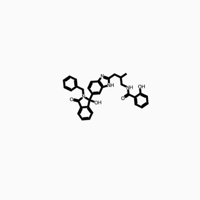 CC(CNC(=O)c1ccccc1O)Cc1nc2ccc(C3(O)c4ccccc4C(=O)N3Cc3ccccc3)cc2[nH]1